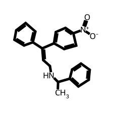 CC(NCC=C(c1ccccc1)c1ccc([N+](=O)[O-])cc1)c1ccccc1